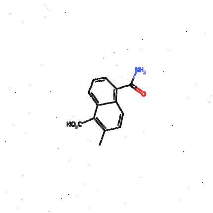 Cc1ccc2c(C(N)=O)cccc2c1C(=O)O